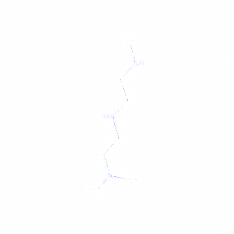 CCNCCNCCN(CC)CC